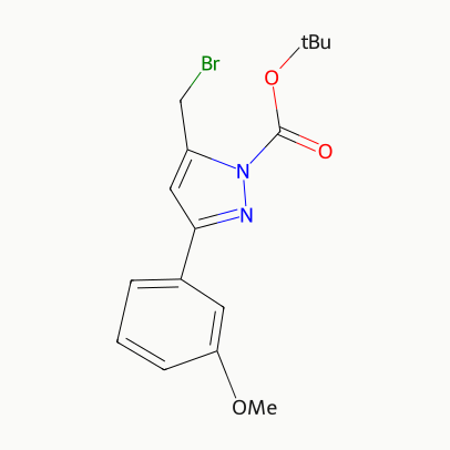 COc1cccc(-c2cc(CBr)n(C(=O)OC(C)(C)C)n2)c1